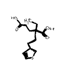 CCC(CCC(=O)O)(CCc1ccsc1)C(=O)O